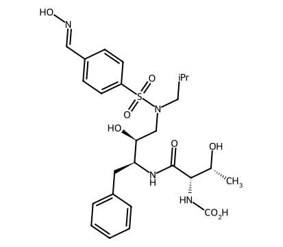 CC(C)CN(C[C@H](O)[C@H](Cc1ccccc1)NC(=O)[C@@H](NC(=O)O)[C@@H](C)O)S(=O)(=O)c1ccc(C=NO)cc1